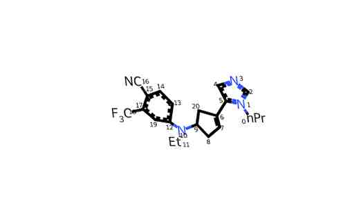 CCCn1cncc1C1=CCC(N(CC)c2ccc(C#N)c(C(F)(F)F)c2)C1